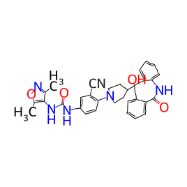 Cc1noc(C)c1NC(=O)Nc1ccc(N2CCC(C3(O)c4ccccc4NC(=O)c4ccccc43)CC2)c(C#N)c1